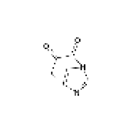 O=C1Cc2cn(cn2)C1=O